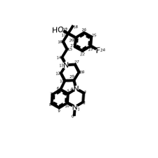 CN1CCN2c3c(cccc31)C1CN(CCCC(C)(O)c3ccc(F)cc3)CCC12